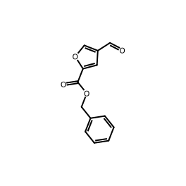 O=Cc1coc(C(=O)OCc2ccccc2)c1